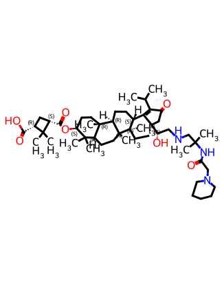 CC(C)C1=C2[C@H]3CC[C@@H]4[C@@]5(C)CC[C@H](OC(=O)[C@H]6C[C@@H](C(=O)O)C6(C)C)C(C)(C)[C@@H]5CC[C@@]4(C)[C@]3(C)CC[C@@]2([C@@H](O)CNCC(C)(C)NC(=O)CN2CCCCC2)CC1=O